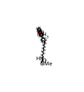 COCC(=O)NCCCCCCCCCN1CCC(c2cnc(N3C4CCC3CN(C)C4)nc2)CC1